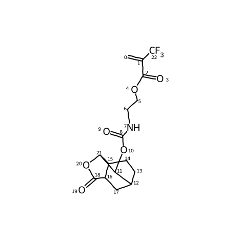 C=C(C(=O)OCCNC(=O)OC1C2CCC3C(C2)C(=O)OC31)C(F)(F)F